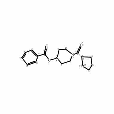 O=C(ON1CCN(C(=O)[C@@H]2CCCN2)CC1)c1ccccc1